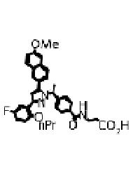 CCCOc1ccc(F)cc1-c1cc(-c2ccc3cc(OC)ccc3c2)n([C@@H](C)c2ccc(C(=O)NCCC(=O)O)cc2)n1